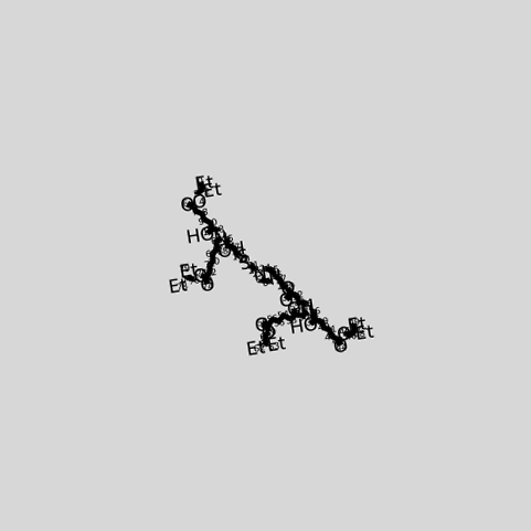 CCC(CC)COC(=O)CCCCC(O)CN(CCCCSSCCN1CCN(CCOC(=O)CCCN(CC(O)CCCCC(=O)OCC(CC)CC)CC(O)CCCCC(=O)OCC(CC)CC)CC1)CC(O)CCCCC(=O)OCC(CC)CC